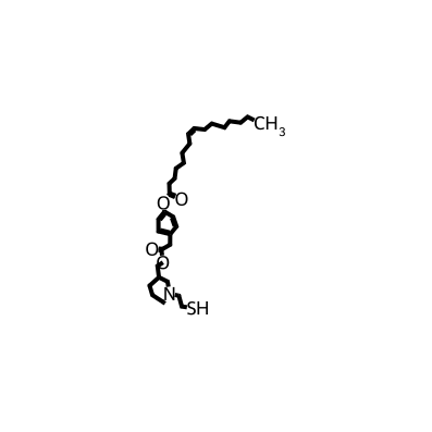 CCCCCCC/C=C\CCCCCCC(=O)Oc1ccc(CC(=O)OCC2CCCN(CCS)C2)cc1